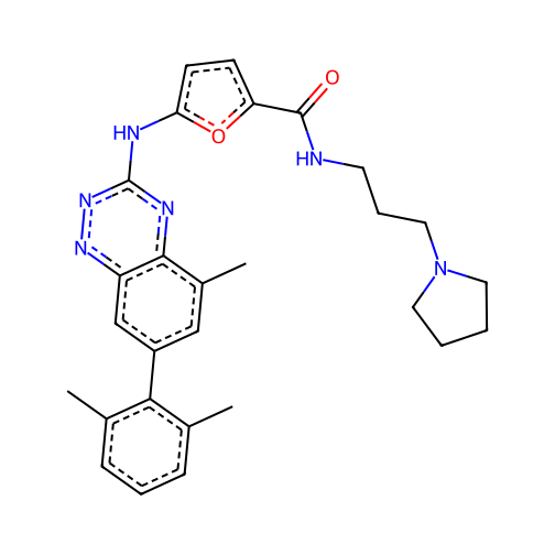 Cc1cccc(C)c1-c1cc(C)c2nc(Nc3ccc(C(=O)NCCCN4CCCC4)o3)nnc2c1